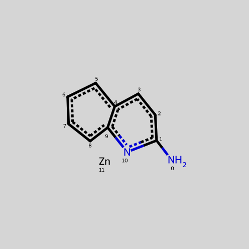 Nc1ccc2ccccc2n1.[Zn]